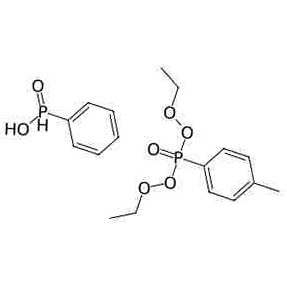 CCOOP(=O)(OOCC)c1ccc(C)cc1.O=[PH](O)c1ccccc1